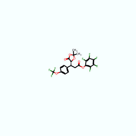 CC1(C)OC(=O)[C@H](C(CC(=O)Oc2c(F)c(F)c(F)c(F)c2F)c2ccc(OC(F)(F)F)cc2)O1